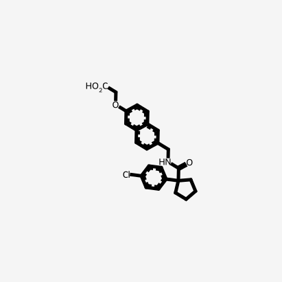 O=C(O)COc1ccc2cc(CNC(=O)C3(c4ccc(Cl)cc4)CCCC3)ccc2c1